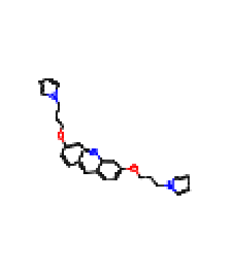 c1ccn(CCCOc2ccc3cc4ccc(OCCCn5cccc5)cc4nc3c2)c1